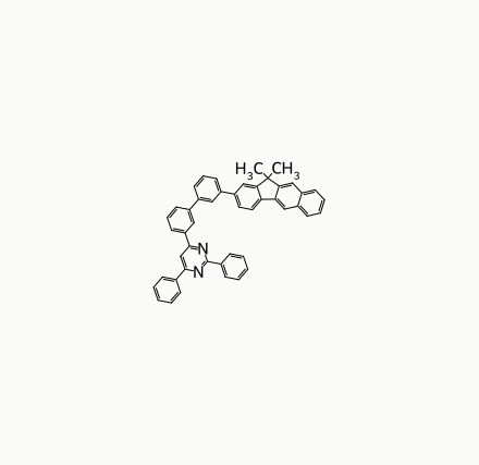 CC1(C)c2cc(-c3cccc(-c4cccc(-c5cc(-c6ccccc6)nc(-c6ccccc6)n5)c4)c3)ccc2-c2cc3ccccc3cc21